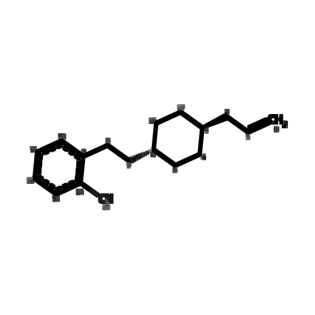 C=CC[C@H]1CC[C@H](CCc2ccccc2C#N)CC1